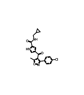 Cc1onc(-c2ccc(Cl)cc2)c1C(=O)c1c[nH]c(C(=O)NCC2CC2)c1